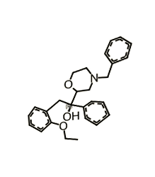 CCOc1ccccc1C[C@@](O)(c1ccccc1)C1CN(Cc2ccccc2)CCO1